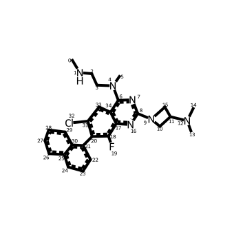 CNCCN(C)c1nc(N2CC(N(C)C)C2)nc2c(F)c(-c3cccc4ccccc34)c(Cl)cc12